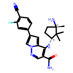 CC1(C)[C@H](Nc2c(C(N)=O)cnn3cc(-c4ccc(C#N)c(F)c4)cc23)CC[C@]1(C)N